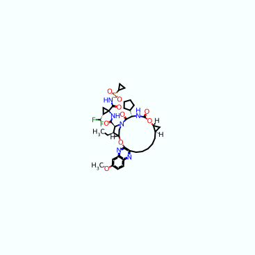 CC[C@@H]1[C@@H]2CN(C(=O)[C@H](C3CCCC3)NC(=O)O[C@@H]3C[C@H]3CCCCCc3nc4ccc(OC)cc4nc3O2)[C@@H]1C(=O)N[C@]1(C(=O)NS(=O)(=O)C2CC2)C[C@H]1C(F)F